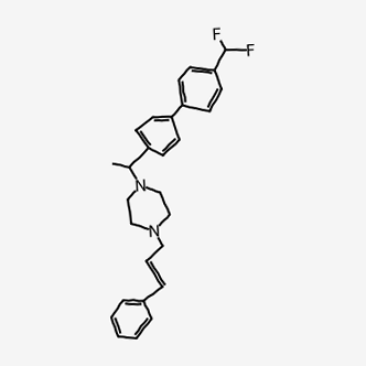 CC(c1ccc(-c2ccc(C(F)F)cc2)cc1)N1CCN(CC=Cc2ccccc2)CC1